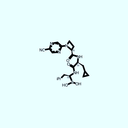 CC(C)C[C@@H](NC(=O)[C@H](CC1CC1)NC(=O)[C@@H]1CCN1c1cnc(C#N)cn1)B(O)O